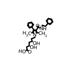 Cc1c(C(=O)NCCc2ccccc2)c(-c2ccccc2)c(C)n1CC[C@@H](O)C[C@@H](O)CC(=O)O